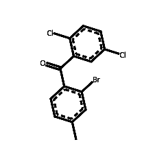 Cc1ccc(C(=O)c2cc(Cl)ccc2Cl)c(Br)c1